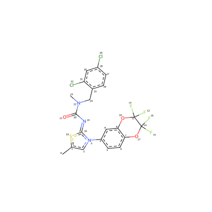 Cc1cn(-c2ccc3c(c2)OC(F)(F)C(F)(F)O3)c(=NC(=O)N(C)Cc2ccc(Cl)cc2Cl)s1